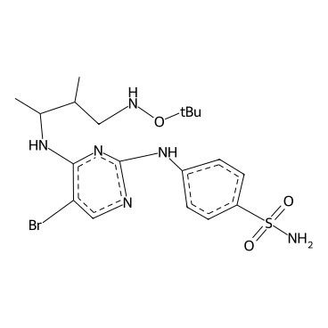 CC(CNOC(C)(C)C)C(C)Nc1nc(Nc2ccc(S(N)(=O)=O)cc2)ncc1Br